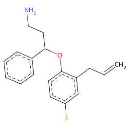 C=CCc1cc(F)ccc1OC(CCN)c1ccccc1